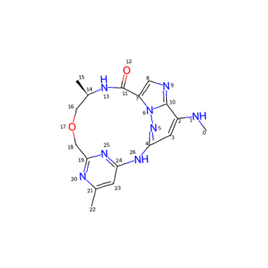 CNc1cc2nn3c(cnc13)C(=O)N[C@H](C)COCc1nc(C)cc(n1)N2